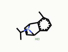 Cc1cccc2c1C1C=CC2N1C(C)C.Cl